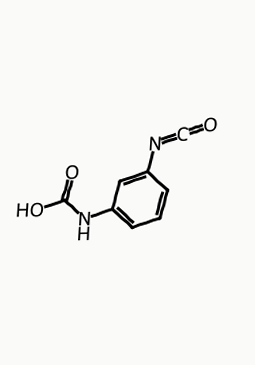 O=C=Nc1cccc(NC(=O)O)c1